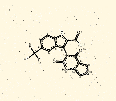 O=C(O)c1[nH]c2ccc(C(F)(F)F)cc2c1-n1c(=O)[nH]c2cscc2c1=O